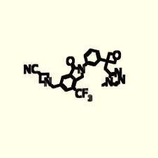 Cn1cnnc1CC1(c2cccc(N3Cc4c(cc(CN5CC(C#N)C5)cc4C(F)(F)F)C3=O)c2)COC1